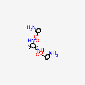 CC1(C)CC(NC(=O)OCc2cccc(N)c2)CC(C)(CNC(=O)OCc2cccc(N)c2)C1